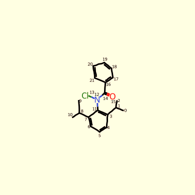 CC(C)c1cccc(C(C)C)c1N(Cl)C(=O)c1ccccc1